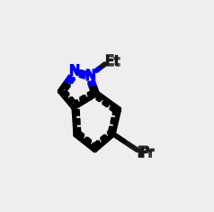 CCn1ncc2ccc(C(C)C)cc21